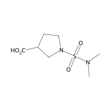 CN(C)S(=O)(=O)N1CCC(C(=O)O)C1